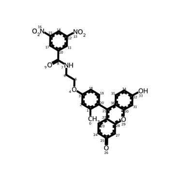 Cc1cc(OCCNC(=O)c2cc([N+](=O)[O-])cc([N+](=O)[O-])c2)ccc1-c1c2ccc(=O)cc-2oc2cc(O)ccc12